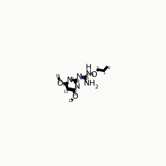 CCCON/C(N)=N/c1nc(OC)cc(OC)n1